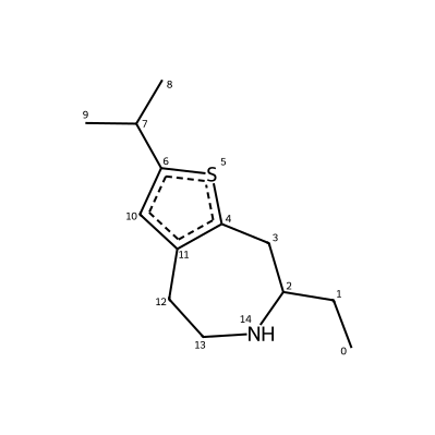 CCC1Cc2sc(C(C)C)cc2CCN1